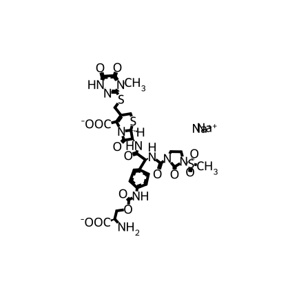 Cn1c(SCC2=C(C(=O)[O-])N3C(=O)[C@@H](NC(=O)[C@H](NC(=O)N4CCN(S(C)(=O)=O)C4=O)c4ccc(NC(=O)OC[C@@H](N)C(=O)[O-])cc4)[C@@H]3SC2)n[nH]c(=O)c1=O.[Na+].[Na+]